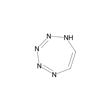 C1=CNN=NN=N1